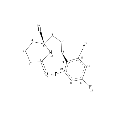 O=C1CCC[C@@H]2CC[C@@H](c3c(F)cc(F)cc3F)N12